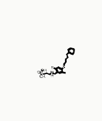 Cc1cc(CNCCCP(=O)(O)O)c(F)cc1SCCCCCc1ccccc1